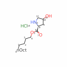 CCCCCCCCCCCCOC(=O)[C@@H]1CC(O)CN1.Cl